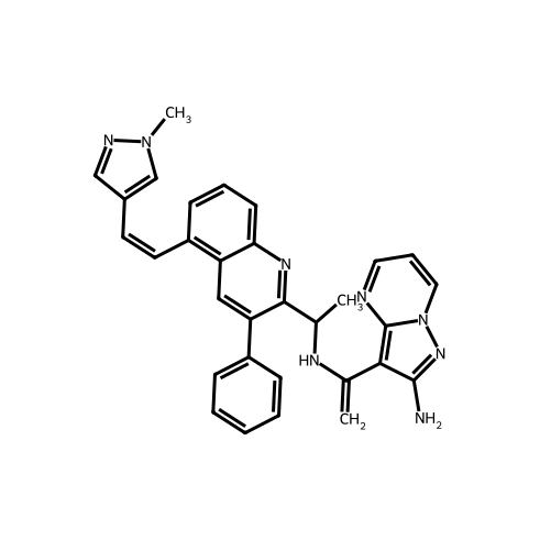 C=C(NC(C)c1nc2cccc(/C=C\c3cnn(C)c3)c2cc1-c1ccccc1)c1c(N)nn2cccnc12